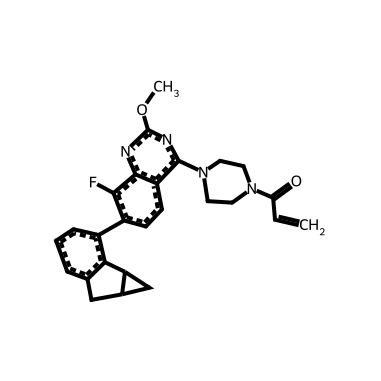 C=CC(=O)N1CCN(c2nc(OC)nc3c(F)c(-c4cccc5c4C4CC4C5)ccc23)CC1